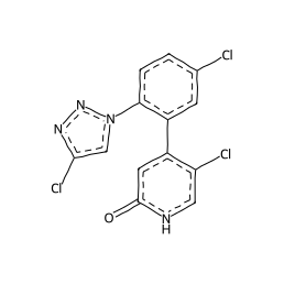 O=c1cc(-c2cc(Cl)ccc2-n2cc(Cl)nn2)c(Cl)c[nH]1